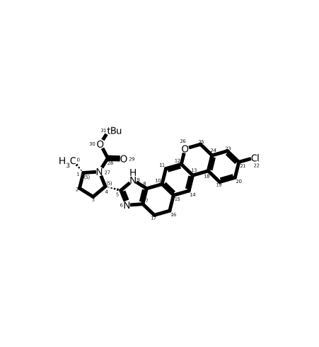 C[C@H]1CC[C@@H](c2nc3c([nH]2)-c2cc4c(cc2CC3)-c2ccc(Cl)cc2CO4)N1C(=O)OC(C)(C)C